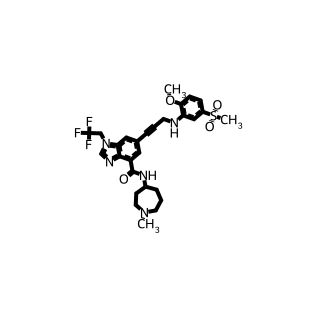 COc1ccc(S(C)(=O)=O)cc1NCC#Cc1cc(C(=O)NC2CCCN(C)CC2)c2ncn(CC(F)(F)F)c2c1